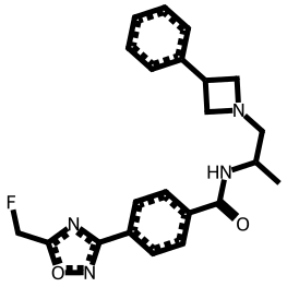 CC(CN1CC(c2ccccc2)C1)NC(=O)c1ccc(-c2noc(CF)n2)cc1